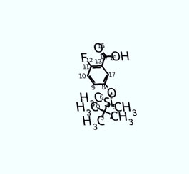 CC(C)(C)[Si](C)(C)Oc1ccc(F)c(C(=O)O)c1